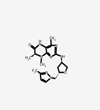 Cc1nc(N[C@H]2CO[C@H](Cn3ccc(C(F)(F)F)n3)C2)nc2c1NC(=O)[C@H](C)N2C